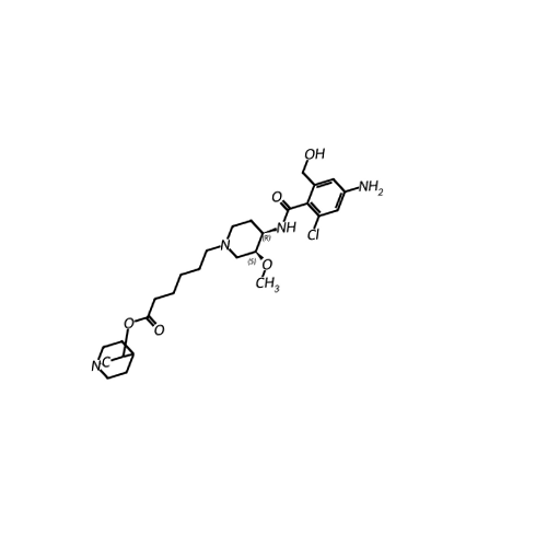 CO[C@H]1CN(CCCCCC(=O)OC2CN3CCC2CC3)CC[C@H]1NC(=O)c1c(Cl)cc(N)cc1CO